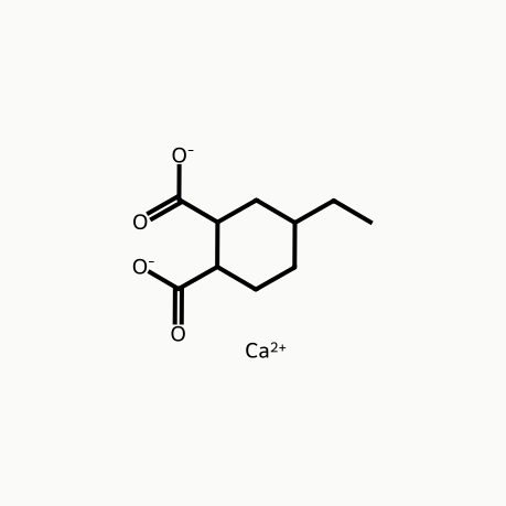 CCC1CCC(C(=O)[O-])C(C(=O)[O-])C1.[Ca+2]